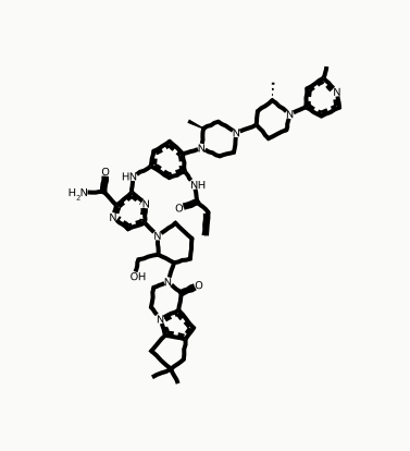 C=CC(=O)Nc1cc(Nc2nc(N3CCCC(N4CCn5c(cc6c5CC(C)(C)C6)C4=O)C3CO)cnc2C(N)=O)ccc1N1CCN(C2CCN(c3ccnc(C)c3)[C@@H](C)C2)C[C@@H]1C